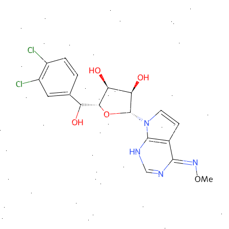 CON=c1nc[nH]c2c1ccn2[C@@H]1O[C@H](C(O)c2ccc(Cl)c(Cl)c2)[C@@H](O)[C@H]1O